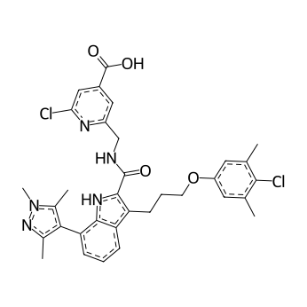 Cc1cc(OCCCc2c(C(=O)NCc3cc(C(=O)O)cc(Cl)n3)[nH]c3c(-c4c(C)nn(C)c4C)cccc23)cc(C)c1Cl